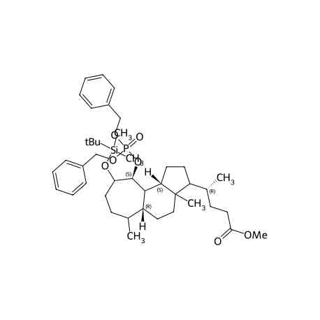 COC(=O)CC[C@@H](C)C1CC[C@H]2C3[C@H](CCC12C)C(C)CCC(O[Si](C)(C)C(C)(C)C)[C@H]3OP(=O)(OCc1ccccc1)OCc1ccccc1